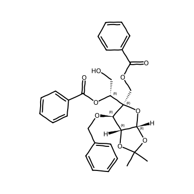 CC1(C)O[C@H]2O[C@](COC(=O)c3ccccc3)([C@@H](CO)OC(=O)c3ccccc3)[C@H](OCc3ccccc3)[C@H]2O1